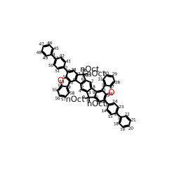 CCCCCCCCC1(CCCCCCCC)c2cc3c(cc2-c2c1cc(-c1ccc(-c4ccccc4)cc1)c1oc4ccccc4c21)C(CCCCCCCC)(CCCCCCCC)c1cc(-c2ccc(-c4ccccc4)cc2)c2oc4ccccc4c2c1-3